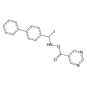 O=C(ONC(I)c1ccc(-c2ccccc2)cc1)c1cncnc1